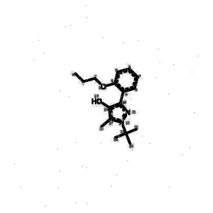 CCCOc1ccccc1-c1nn(C(C)(C)C)c(C)c1O